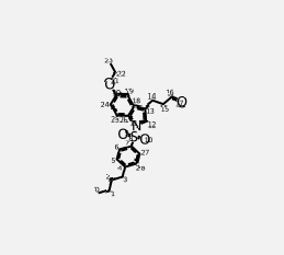 CCCCc1ccc(S(=O)(=O)n2cc(CCC=O)c3cc(OCC)ccc32)cc1